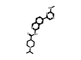 CNc1cncc(-c2ccc3cnc(NC(=O)C4CCN(C(C)C)CC4)cc3c2)n1